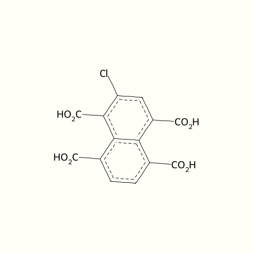 O=C(O)c1ccc(C(=O)O)c2c(C(=O)O)c(Cl)cc(C(=O)O)c12